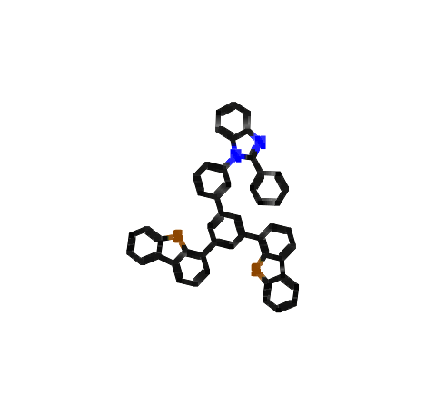 c1ccc(-c2nc3ccccc3n2-c2cccc(-c3cc(-c4cccc5c4sc4ccccc45)cc(-c4cccc5c4sc4ccccc45)c3)c2)cc1